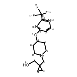 OCC1(CN2CCC(Oc3ccnc(C(F)(F)F)n3)CC2)CC1